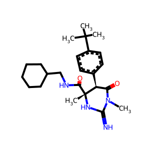 CN1C(=N)N[C@](C)(C(=O)NCC2CCCCC2)[C@@H](c2ccc(C(C)(C)C)cc2)C1=O